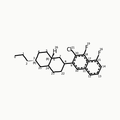 CCC[C@@H]1CC[C@@H]2CC(c3cc4cccc(F)c4c(F)c3Cl)CCC2C1